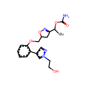 CC(C)(C)C(OC(N)=O)C1=NOC(COc2ccccc2-c2cnn(CCO)c2)C1